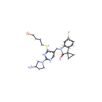 NC1CCN(c2ncc(CN3C(=O)C4(CC4)c4ccc(F)cc43)c(SCCCCO)n2)C1